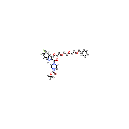 Cn1c(C(=O)N2CCN(C(=O)OC(C)(C)C)CC2)c(OCCOCCOCCOCc2ccccc2)c2cc(F)c(F)cc21